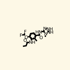 CCC(=O)Nc1c(OC(F)F)ccc(C(=O)NC2=NNNN2C)c1C